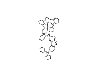 c1ccc(N(c2ccccc2)c2ccc3sc4ccc(N(c5ccccc5)c5ccc6c(c5)C5(c7ccccc7-c7ccccc75)c5cccc7c8ccccc8n-6c57)cc4c3c2)cc1